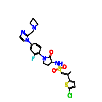 C/C(=C\S(=O)(=O)NC1CCN(c2ccc(-n3ccnc3CN3CCC3)cc2F)C1=O)c1ccc(Cl)s1